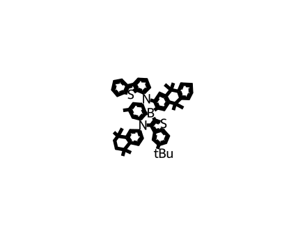 Cc1cc2c3c(c1)N(c1cccc4c1sc1ccccc14)c1cc4c(cc1B3c1sc3ccc(C(C)(C)C)cc3c1N2c1ccc2c(c1)C(C)(C)CCC2(C)C)C(C)(C)c1ccccc1C4(C)C